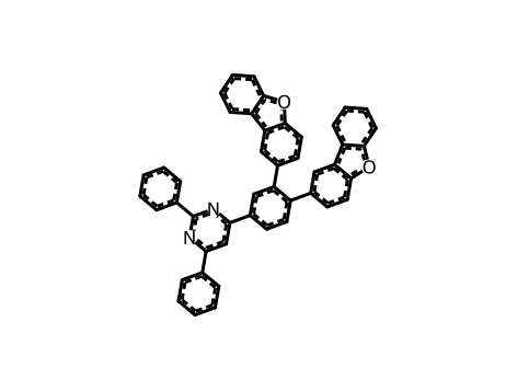 c1ccc(-c2cc(-c3ccc(-c4ccc5oc6ccccc6c5c4)c(-c4ccc5oc6ccccc6c5c4)c3)nc(-c3ccccc3)n2)cc1